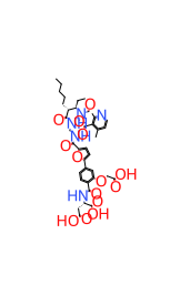 CCCCC[C@@H](C(=O)NCNC(=O)c1ccc(-c2ccc(C(=O)N[C@@H](CC(=O)O)C(=O)O)c(OCC(=O)O)c2)o1)[C@@H](CC)N(C=O)OC(=O)c1c(C)ccnc1C